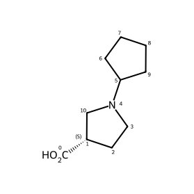 O=C(O)[C@H]1CCN(C2CCCC2)C1